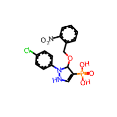 O=[N+]([O-])c1ccccc1COC1C(P(=O)(O)O)=CNN1c1ccc(Cl)cc1